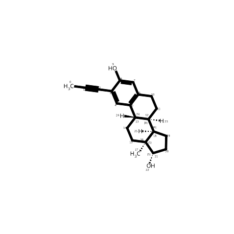 CC#Cc1cc2c(cc1O)CC[C@@H]1[C@@H]2CC[C@@]2(C)[C@@H]1CC[C@@H]2O